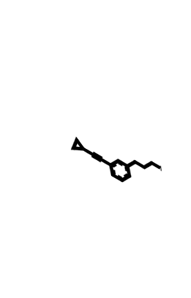 ICCCc1cccc(C#CC2CC2)c1